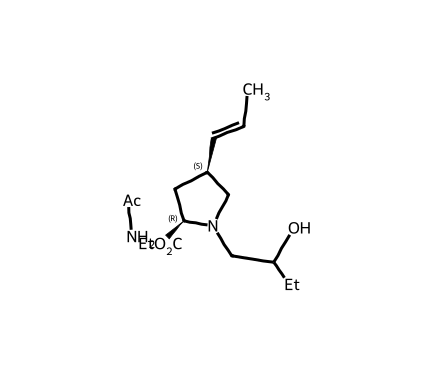 CC(N)=O.CC=C[C@@H]1C[C@H](C(=O)OCC)N(CC(O)CC)C1